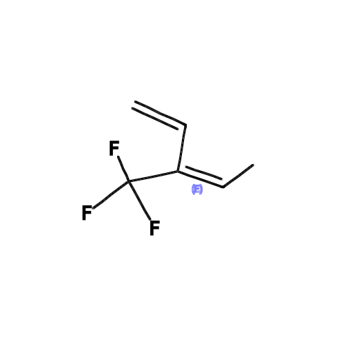 C=C/C(=C\C)C(F)(F)F